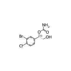 NC(=O)O[C@H](CO)c1ccc(Cl)c(Br)c1